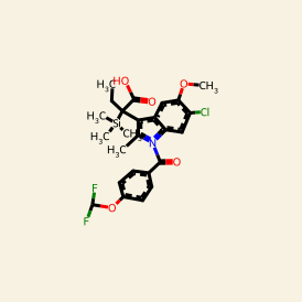 CCC(C(=O)O)(c1c(C)n(C(=O)c2ccc(OC(F)F)cc2)c2cc(Cl)c(OC)cc12)[Si](C)(C)C